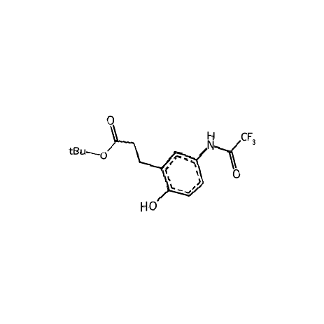 CC(C)(C)OC(=O)CCc1cc(NC(=O)C(F)(F)F)ccc1O